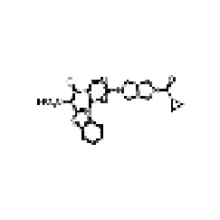 O=C(O)c1c(=O)c2cnc(N3CC4CN(C(=O)C5CC5)CC4C3)nc2n2c1sc1ccccc12